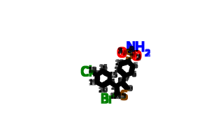 NS(=O)(=O)c1ccc(-c2csc(Br)c2-c2ccc(Cl)cc2)cc1